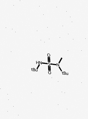 CN(C(C)(C)C)S(=O)(=O)NC(C)(C)C